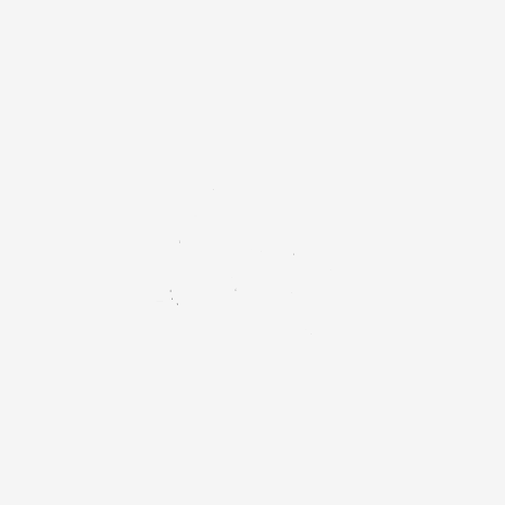 CS(=O)(=O)Oc1cc(N)cc(C(=O)O)c1